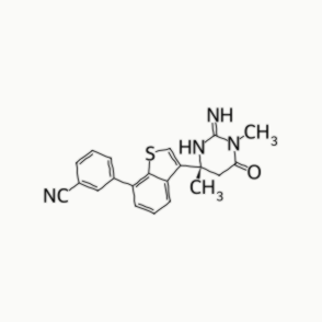 CN1C(=N)N[C@@](C)(c2csc3c(-c4cccc(C#N)c4)cccc23)CC1=O